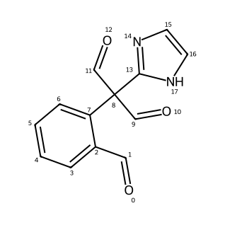 O=Cc1ccccc1C(C=O)(C=O)c1ncc[nH]1